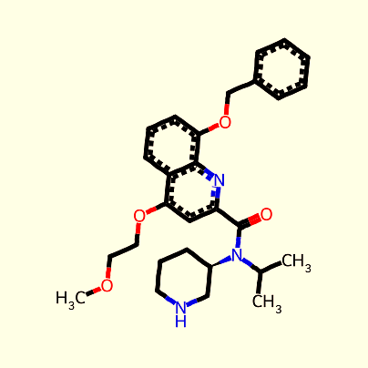 COCCOc1cc(C(=O)N(C(C)C)[C@@H]2CCCNC2)nc2c(OCc3ccccc3)cccc12